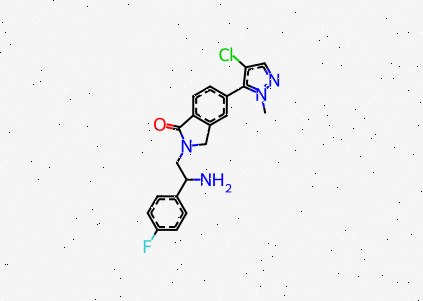 Cn1ncc(Cl)c1-c1ccc2c(c1)CN(CC(N)c1ccc(F)cc1)C2=O